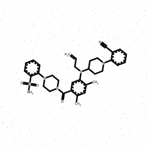 C=CCN(c1cc(C(=O)N2CCN(c3ccccc3S(N)(=O)=O)CC2)c(C)cc1C)C1CCN(c2ccccc2C#N)CC1